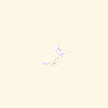 CCCCCNC(=O)c1ccc(N(C)S(=O)(=O)c2ccc(-c3nn([C@H]4CC[C@@H](O)CC4)c4nc(NCCCC)ncc34)cc2)cc1